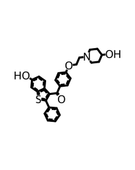 O=C(c1ccc(OCCN2CCC(O)CC2)cc1)c1c(-c2ccccc2)sc2cc(O)ccc12